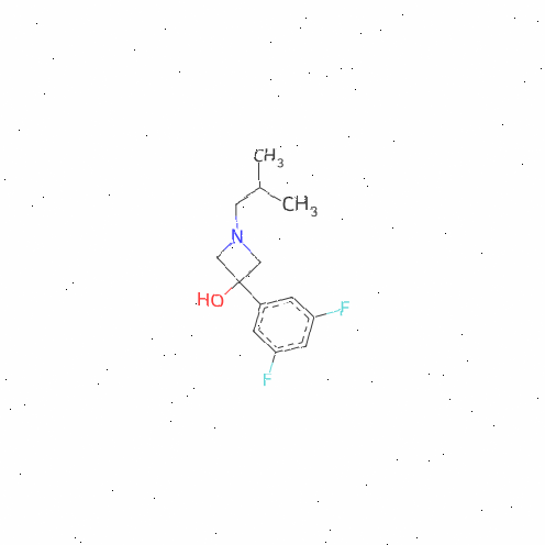 CC(C)CN1CC(O)(c2cc(F)cc(F)c2)C1